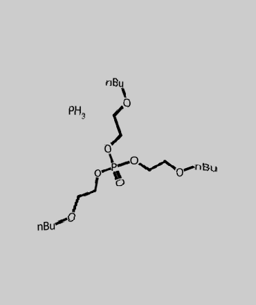 CCCCOCCOP(=O)(OCCOCCCC)OCCOCCCC.P